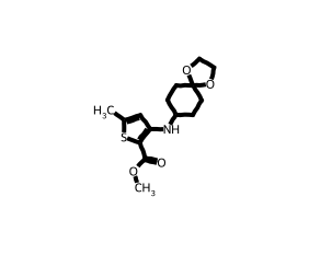 COC(=O)c1sc(C)cc1NC1CCC2(CC1)OCCO2